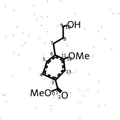 COC(=O)c1ccc(CCCO)c(OC)c1